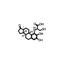 C[C@]12CC[C@@H]3c4c(cc(O)c(O)c4NC(CS)C(=O)O)CC[C@H]3[C@@H]1CCC2=O